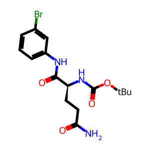 CC(C)(C)OC(=O)N[C@@H](CCC(N)=O)C(=O)Nc1cccc(Br)c1